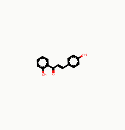 O=C(C=Cc1ccc(O)cc1)c1ccccc1O